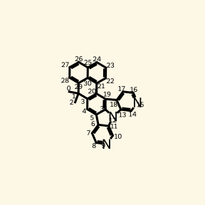 CC1(C)c2cc3c4ccncc4n4c5cnccc5c(c2-c2cccc5cccc1c25)c34